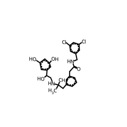 CC(C)(Cc1cccc(CC(=O)NCc2cc(Cl)cc(Cl)c2)c1)NCC(O)c1cc(O)cc(O)c1